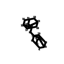 C1C2CC3CC1CC(CC14CC5CC(CC(C5)C1)C4)(C2)C3